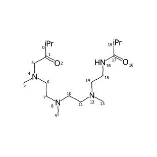 CC(C)C(=O)CN(C)CCN(C)CCN(C)CCNC(=O)C(C)C